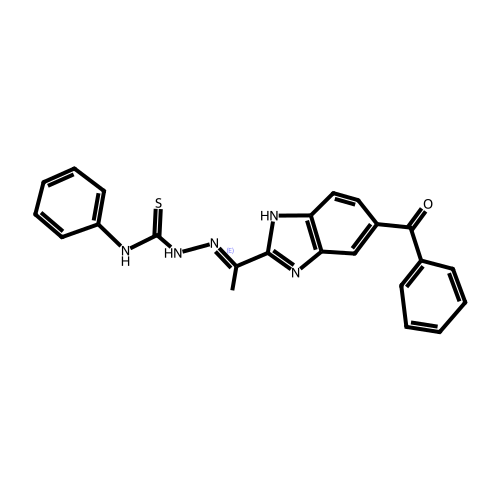 C/C(=N\NC(=S)Nc1ccccc1)c1nc2cc(C(=O)c3ccccc3)ccc2[nH]1